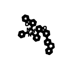 c1ccc(-c2nc(-c3ccccc3-c3cccc4oc5ccc(-c6ccc7c(c6)CCc6ccccc6-7)cc5c34)nc(-c3cccc4c3oc3ccccc34)n2)cc1